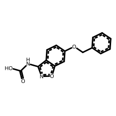 O=C(O)Nc1noc2cc(OCc3ccccc3)ccc12